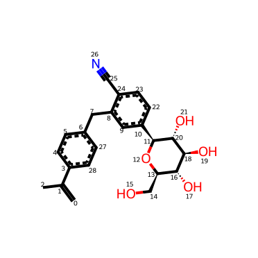 C=C(C)c1ccc(Cc2cc([C@@H]3O[C@H](CO)[C@@H](O)[C@H](O)[C@H]3O)ccc2C#N)cc1